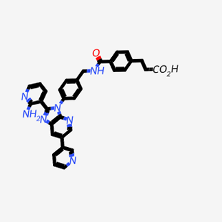 Nc1ncccc1-c1nc2cc(-c3cccnc3)cnc2n1-c1ccc(CNC(=O)c2ccc(CCC(=O)O)cc2)cc1